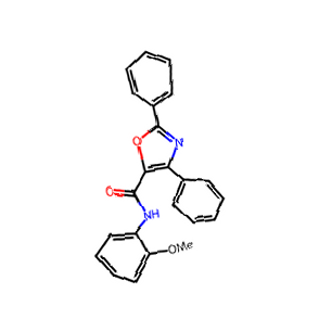 COc1ccccc1NC(=O)c1oc(-c2ccccc2)nc1-c1ccccc1